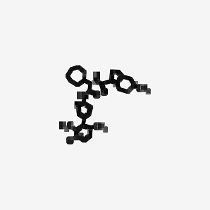 Cc1cc[n+]([O-])c(C)c1-c1ccc(NC(=O)[C@@H](NC(=O)c2ccc3n2CCN(C)C3)C2CCCCCC2)nc1